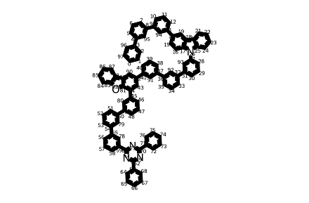 c1ccc(-c2cccc(-c3cccc(-c4ccc5c(c4)c4ccccc4n5-c4cccc(-c5cccc(-c6cccc(-c7cc(-c8cccc(-c9cccc(-c%10cccc(-c%11nc(-c%12ccccc%12)nc(-c%12ccccc%12)n%11)c%10)c9)c8)c8oc9ccccc9c8c7)c6)c5)c4)c3)c2)cc1